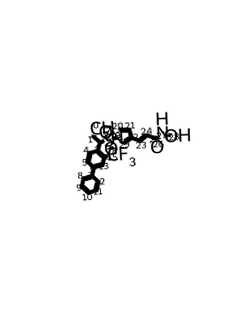 C=CC(c1ccc(-c2ccccc2)cc1C(F)(F)F)S(=O)(=O)n1ccc(/C=C/C(=O)NO)c1